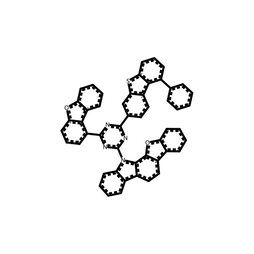 c1ccc(-c2cccc3sc4cc(-c5nc(-c6cccc7oc8ccccc8c67)nc(-n6c7ccccc7c7ccc8c9ccccc9oc8c76)n5)ccc4c23)cc1